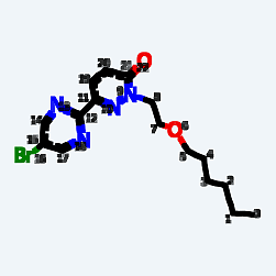 CCCCCCOCCn1nc(-c2ncc(Br)cn2)ccc1=O